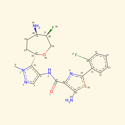 Cn1ncc(NC(=O)c2nc(-c3ccccc3F)sc2N)c1[C@@H]1CC[C@@H](N)[C@@H](F)CO1